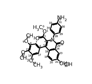 COC(=O)c1c(-c2cc(OC)c(OC)c(OC)c2)c2ccc(O)cc2c(=O)n1-c1ccc(N)cc1.Cl